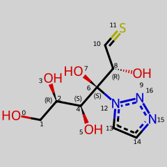 OC[C@@H](O)[C@H](O)[C@](O)([C@@H](O)C=S)n1ccnn1